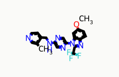 COc1ccc2nc(C(F)(F)F)n(-c3cnc(NCc4ccncc4C)cn3)c2c1